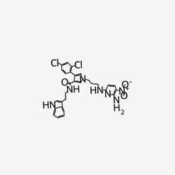 Nc1nc(NCCCn2cc(C(=O)NCCc3c[nH]c4ccccc34)c(-c3ccc(Cl)cc3Cl)c2)ccc1[N+](=O)[O-]